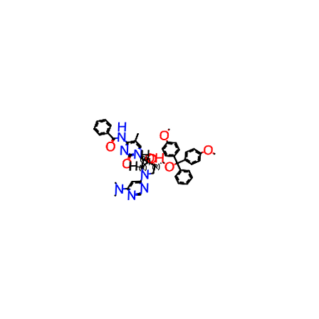 COc1ccc(C(OC[C@@]23CN(c4cc(N(C)C)ncn4)[C@@H]([C@H](n4cc(C)c(NC(=O)c5ccccc5)nc4=O)O2)[C@@H]3O)(c2ccccc2)c2ccc(OC)cc2)cc1